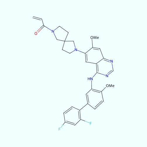 C=CC(=O)N1CCC2(CCN(c3cc4c(Nc5cc(-c6ccc(F)cc6F)ccc5OC)ncnc4cc3OC)C2)C1